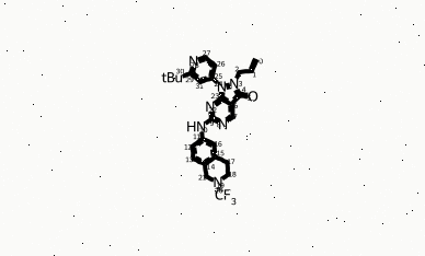 C=CCn1c(=O)c2cnc(Nc3ccc4c(c3)CCN(C(F)(F)F)C4)nc2n1-c1ccnc(C(C)(C)C)c1